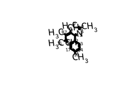 C=C(C)/N=C(\C(C)=C(\C)C(=C)C)c1ccc(C)cc1